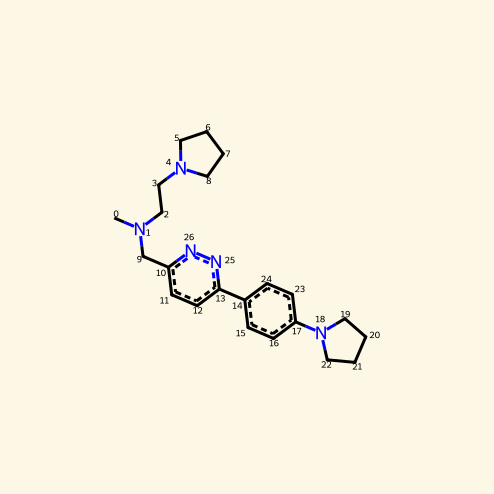 CN(CCN1CCCC1)Cc1ccc(-c2ccc(N3CCCC3)cc2)nn1